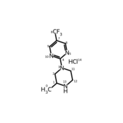 CC1CN(c2ncc(C(F)(F)F)cn2)CCN1.Cl